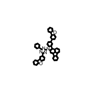 c1ccc(-c2nc(-c3ccc4oc5ccccc5c4c3)nc(-n3c4ccc(-c5ccc6oc7ccccc7c6c5)cc4c4c5cccc6c5c(cc43)-c3ccccc3-6)n2)cc1